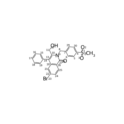 CS(=O)(=O)c1ccc(Cn2c(CO)c(-c3ccccc3)c3cc(Br)ccc3c2=O)cc1